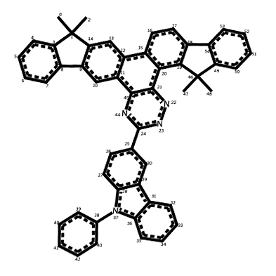 CC1(C)c2ccccc2-c2cc3c(cc21)c1ccc2c(c1c1nnc(-c4ccc5c(c4)c4ccccc4n5-c4ccccc4)nc31)C(C)(C)c1ccccc1-2